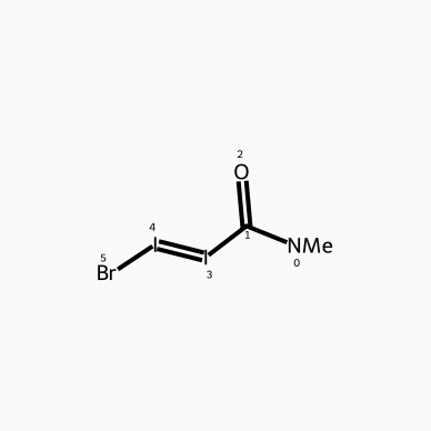 CNC(=O)/I=I/Br